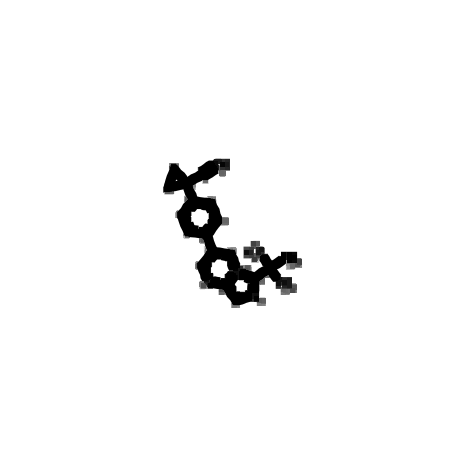 C#CC1(c2ccc(-c3cnc4cnc(C(P)(P)P)n4c3)cc2)CC1